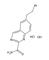 CC(C)CCc1ccc2nc(C(N)=O)ncc2c1.Cl.Cl